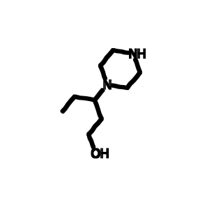 CCC(CCO)N1CCNCC1